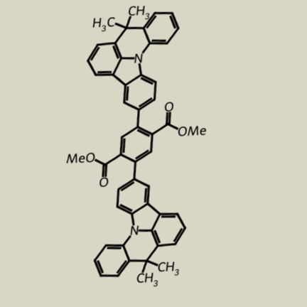 COC(=O)c1cc(-c2ccc3c(c2)c2cccc4c2n3-c2ccccc2C4(C)C)c(C(=O)OC)cc1-c1ccc2c(c1)c1cccc3c1n2-c1ccccc1C3(C)C